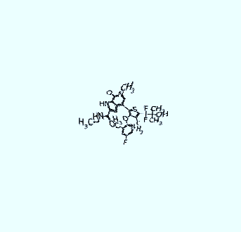 CCNC(=O)c1cc2c(-c3sc(C(F)(F)C(C)(C)O)c(C)c3Oc3ncc(F)cc3C)cn(C)c(=O)c2[nH]1